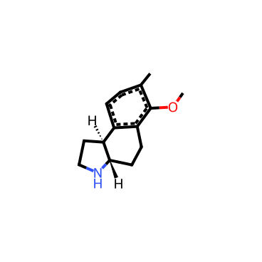 COc1c(C)ccc2c1CC[C@@H]1NCC[C@@H]21